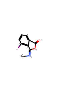 CC(C)/N=C1/OC(=O)c2cccc(I)c21